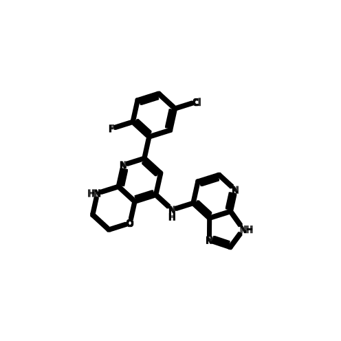 Fc1ccc(Cl)cc1-c1cc(Nc2ccnc3[nH]cnc23)c2c(n1)NCCO2